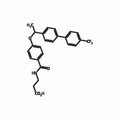 CC(Oc1ccc(C(=O)NCCC(=O)O)cc1)c1ccc(-c2ccc(C(F)(F)F)cc2)cc1